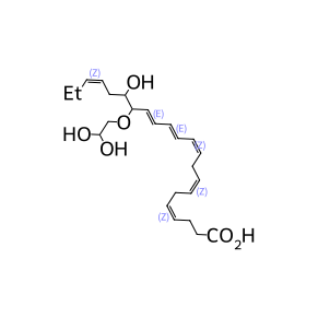 CC/C=C\CC(O)C(/C=C/C=C/C=C\C/C=C\C/C=C\CCC(=O)O)OCC(O)O